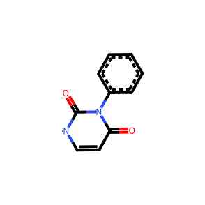 O=C1C=C[N]C(=O)N1c1ccccc1